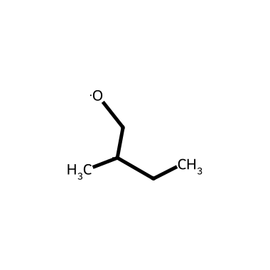 CC[C](C)C[O]